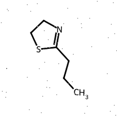 CCCC1=NCCS1